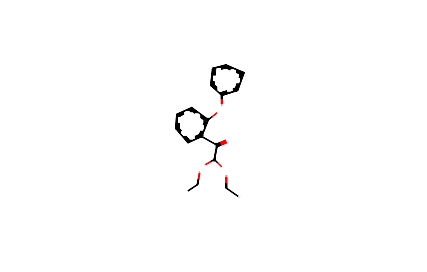 CCOC(OCC)C(=O)c1ccccc1Oc1ccccc1